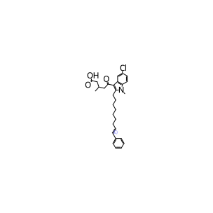 CC(CC(=O)O)CC(=O)c1c(CCCCCCC/C=C/c2ccccc2)n(C)c2ccc(Cl)cc12